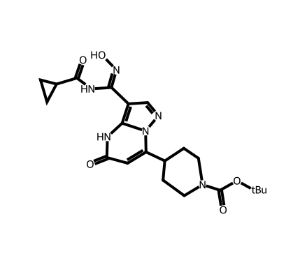 CC(C)(C)OC(=O)N1CCC(c2cc(=O)[nH]c3c(C(=NO)NC(=O)C4CC4)cnn23)CC1